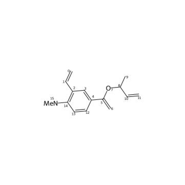 C=Cc1cc(C(=C)OC(C)C=C)ccc1NC